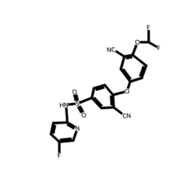 N#Cc1cc(S(=O)(=O)Nc2ccc(F)cn2)ccc1Oc1ccc(OC(F)F)c(C#N)c1